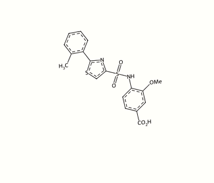 COc1cc(C(=O)O)ccc1NS(=O)(=O)c1csc(-c2ccccc2C)n1